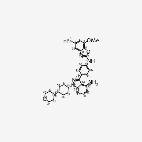 CCCc1cc(OC)c2oc(Nc3ccc(-c4nn([C@H]5CC[C@H](N6CCOCC6)CC5)c5ncnc(N)c45)cc3)nc2c1